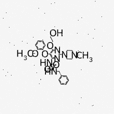 COc1ccccc1Oc1c(NS(=O)(=O)NCc2ccccc2)nc(N2CCN(C)CC2)nc1OCCO